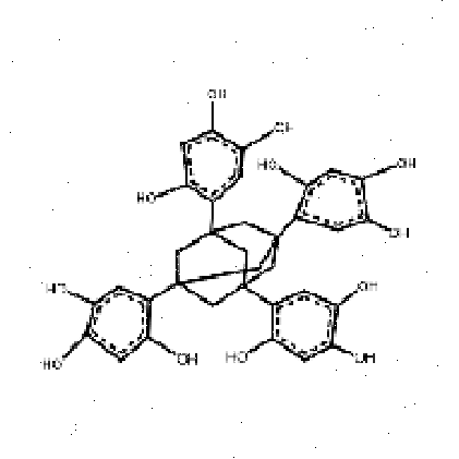 Oc1cc(O)c(C23CC4(c5cc(O)c(O)cc5O)CC(c5cc(O)c(O)cc5O)(C2)CC(c2cc(O)c(O)cc2O)(C3)C4)cc1O